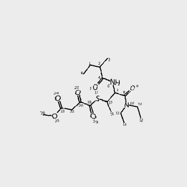 CCC(C)C(=O)NC(C(=O)N(CC)CC)C(C)SC(=O)C(=O)CC(=O)OC